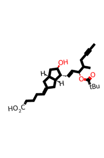 CC#CCC(C)[C@@H](/C=C/[C@@H]1[C@H]2C/C(=C/CCCC(=O)O)C[C@H]2C[C@H]1O)OC(=O)C(C)(C)C